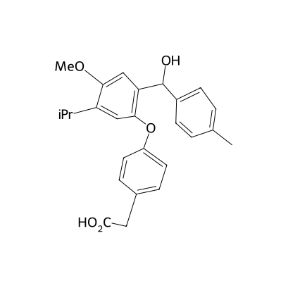 COc1cc(C(O)c2ccc(C)cc2)c(Oc2ccc(CC(=O)O)cc2)cc1C(C)C